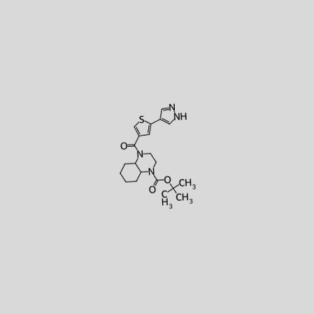 CC(C)(C)OC(=O)N1CCN(C(=O)c2csc(-c3cn[nH]c3)c2)C2CCCCC21